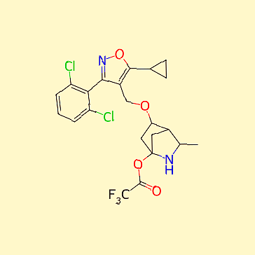 CC1NC2(OC(=O)C(F)(F)F)CC(OCc3c(-c4c(Cl)cccc4Cl)noc3C3CC3)C1C2